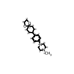 CN1CCN(c2ccc(C3CCC4(CC3)OCCO4)cc2)CC1